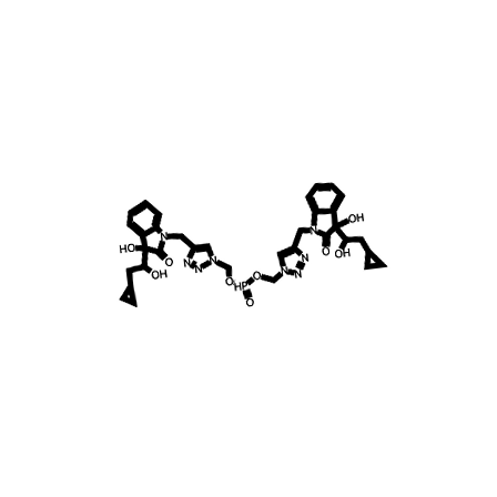 O=C1N(Cc2cn(CO[PH](=O)OCn3cc(CN4C(=O)C(O)(C(O)CC5CC5)c5ccccc54)nn3)nn2)c2ccccc2C1(O)C(O)CC1CC1